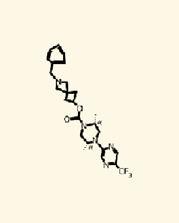 C[C@@H]1CN(c2cnc(C(F)(F)F)cn2)[C@H](C)CN1C(=O)OC1CC2(C1)CN(Cc1ccccc1)C2